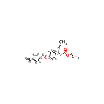 CC#C[C@@H](CC(=O)OCC)c1ccc(OCc2ccc(CBr)cc2)cc1